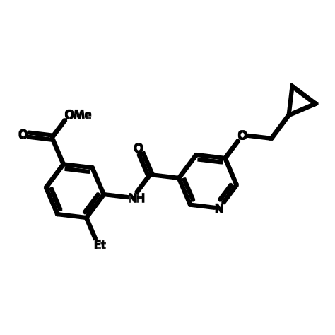 CCc1ccc(C(=O)OC)cc1NC(=O)c1cncc(OCC2CC2)c1